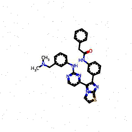 CN(C)Cc1cccc(Nc2nccc(-c3c(-c4cccc(NC(=O)Cc5ccccc5)c4)nc4sccn34)n2)c1